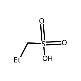 CC[CH]S(=O)(=O)O